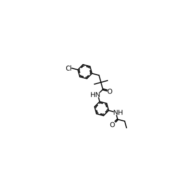 CCC(=O)Nc1cccc(NC(=O)C(C)(C)Cc2ccc(Cl)cc2)c1